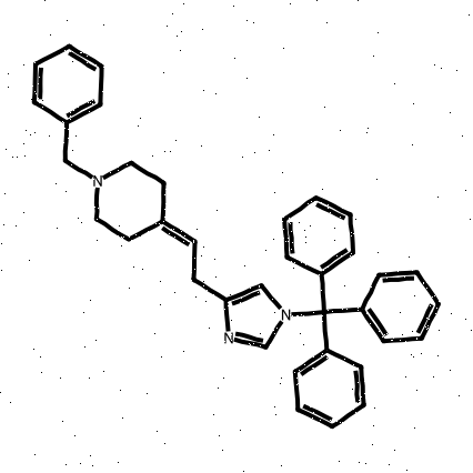 C(Cc1cn(C(c2ccccc2)(c2ccccc2)c2ccccc2)cn1)=C1CCN(Cc2ccccc2)CC1